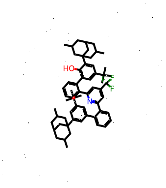 CC1CC2CC(C)CC(c3cc(-c4ccccc4-c4cc(C(F)(F)F)cc(-c5ccccc5-c5cc(C(C)(C)C)cc(C67CC(C)CC(CC(C)C6)C7)c5O)n4)cc(C(C)(C)C)c3)(C1)C2